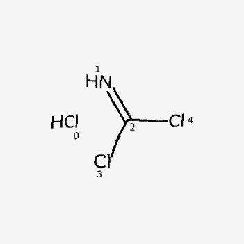 Cl.N=C(Cl)Cl